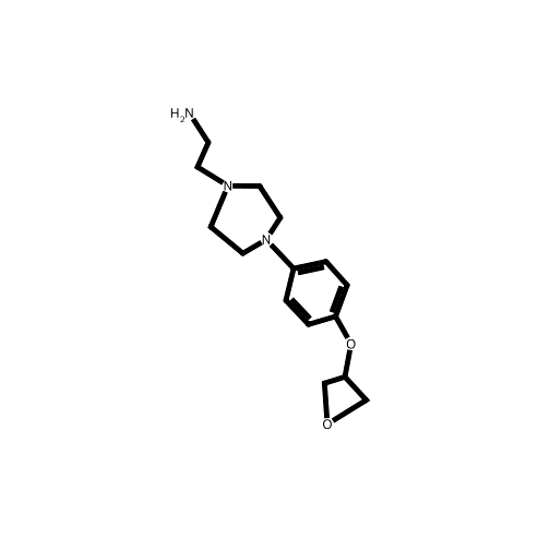 NCCN1CCN(c2ccc(OC3COC3)cc2)CC1